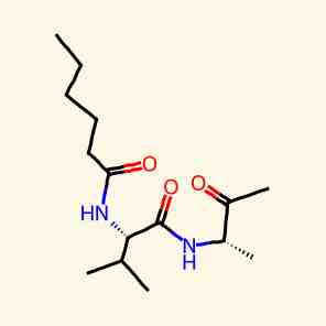 CCCCCC(=O)N[C@H](C(=O)N[C@@H](C)C(C)=O)C(C)C